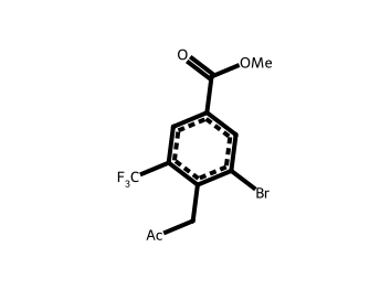 COC(=O)c1cc(Br)c(CC(C)=O)c(C(F)(F)F)c1